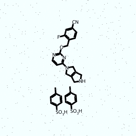 Cc1ccc(S(=O)(=O)O)cc1.Cc1ccc(S(=O)(=O)O)cc1.N#Cc1ccc(COc2nccc(N3CC4=C(CNC4)C3)n2)c(F)c1